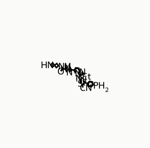 CCc1nc2ccc(-c3cnc(C(=O)NC4CC5(CNC5)C4)cn3)cn2c1N(C)c1nc(-c2ccc(P)cc2)c(C#N)s1